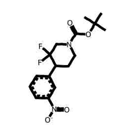 CC(C)(C)OC(=O)N1CCC(c2cccc([N+](=O)[O-])c2)C(F)(F)C1